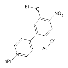 CC(=O)[O-].CCC[n+]1ccc(-c2ccc([N+](=O)[O-])c(OCC)c2)cc1